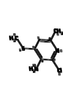 CSc1cc(C)nc(Cl)c1N